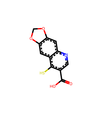 O=C(O)c1cnc2cc3c(cc2c1S)OCO3